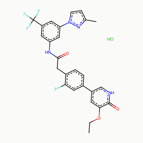 CCOc1cc(-c2ccc(CC(=O)Nc3cc(-n4ccc(C)n4)cc(C(F)(F)F)c3)c(F)c2)c[nH]c1=O.Cl